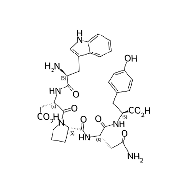 NC(=O)C[C@H](NC(=O)[C@@H]1CCCN1C(=O)[C@H](CC(=O)O)NC(=O)[C@@H](N)Cc1c[nH]c2ccccc12)C(=O)N[C@@H](Cc1ccc(O)cc1)C(=O)O